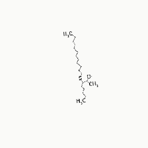 CCCCCCCCCCCCSC(CCCCC)C(C)[O]